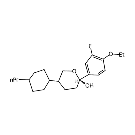 CCCC1CCC(C2CC[C@@](O)(c3ccc(OCC)c(F)c3)OC2)CC1